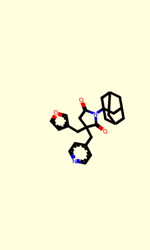 O=C1CC(Cc2ccncc2)(Cc2ccoc2)C(=O)N1C12CC3CC(CC(C3)C1)C2